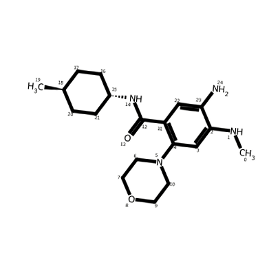 CNc1cc(N2CCOCC2)c(C(=O)N[C@H]2CC[C@H](C)CC2)cc1N